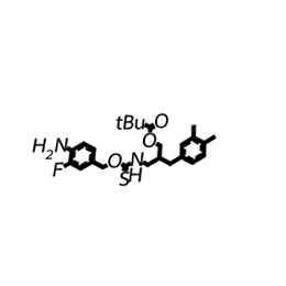 Cc1ccc(CC(CNC(=S)OCc2ccc(N)c(F)c2)COC(=O)C(C)(C)C)cc1C